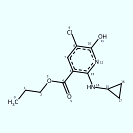 CCCOC(=O)c1cc(Cl)c(O)nc1NC1CC1